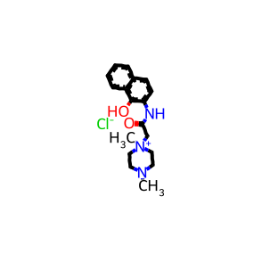 CN1CC[N+](C)(CC(=O)Nc2ccc3ccccc3c2O)CC1.[Cl-]